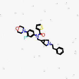 O=C(c1cccs1)N(CC1C2CN(CCc3ccccc3)CC21)c1ccc(N2CCOCC2)c(F)c1